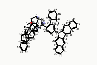 CC1C/C=C(c2ccc3c(c2)sc2ccccc23)/N=C(c2ccc(-n3c4cc5ccccc5cc4c4cc5ccccc5cc43)c3oc4ccccc4c23)\N=C/1c1ccc(-c2ccccc2)cc1